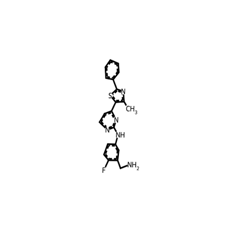 Cc1nc(-c2ccccc2)sc1-c1ccnc(Nc2ccc(F)c(CN)c2)n1